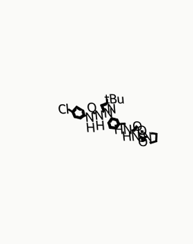 CC(C)(C)c1cc(NC(=O)Nc2ccc(Cl)cc2)n(-c2cccc(CNC(=O)NS(=O)(=O)N3CCCC3)c2)n1